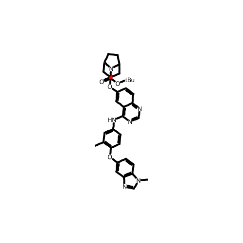 Cc1cc(Nc2ncnc3ccc(OC4CC5CCC(C4)N5C(=O)OC(C)(C)C)cc23)ccc1Oc1ccc2c(c1)ncn2C